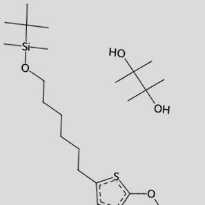 CC(C)(C)[Si](C)(C)OCCCCCCc1ccc(OBO)s1.CC(C)(O)C(C)(C)O